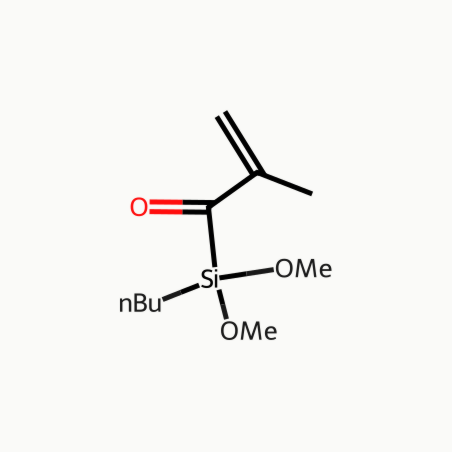 C=C(C)C(=O)[Si](CCCC)(OC)OC